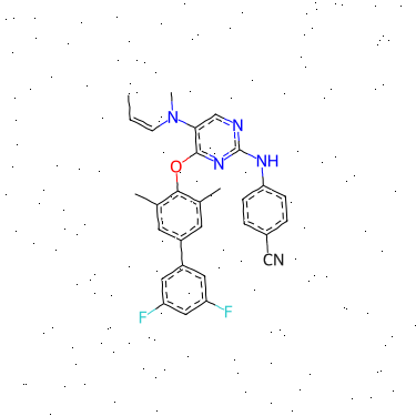 C/C=C\N(C)c1cnc(Nc2ccc(C#N)cc2)nc1Oc1c(C)cc(-c2cc(F)cc(F)c2)cc1C